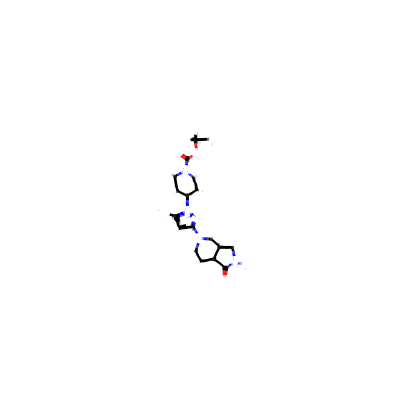 Cc1cc(N2CCC3C(=O)N(C)CC3C2)nn1C1CCN(C(=O)OC(C)(C)C)CC1